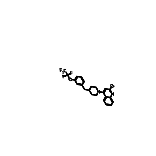 [O]c1cc(N2CCC(Cc3cccc(OC(F)(F)C(F)(F)F)c3)CC2)c2ccccc2n1